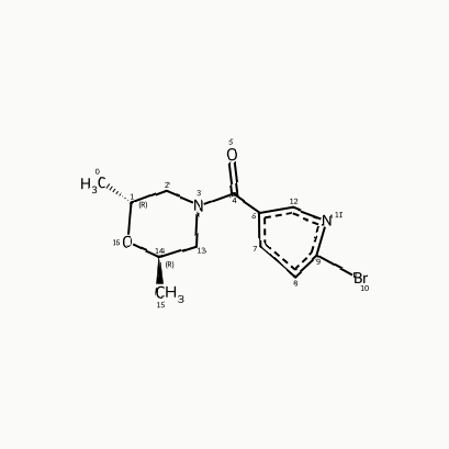 C[C@@H]1CN(C(=O)c2ccc(Br)nc2)C[C@@H](C)O1